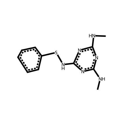 CNc1nc(NC)nc(NSc2ccccc2)n1